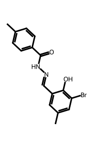 Cc1ccc(C(=O)N/N=C/c2cc(C)cc(Br)c2O)cc1